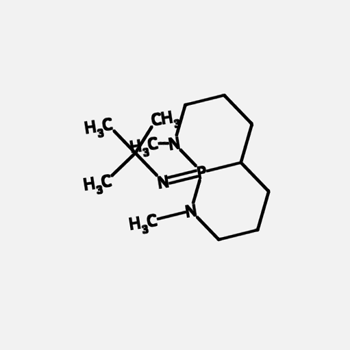 CN1CCCC2CCCN(C)P21=NC(C)(C)C